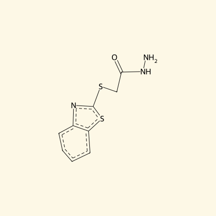 NNC(=O)CSc1nc2ccccc2s1